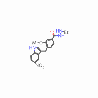 CCNNC(=O)c1ccc(Cc2c[nH]c3ccc([N+](=O)[O-])cc23)c(OC)c1